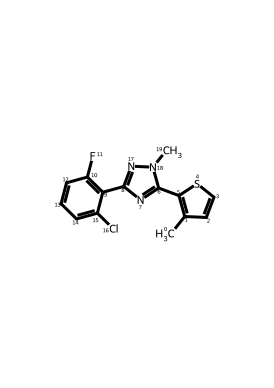 Cc1ccsc1-c1nc(-c2c(F)cccc2Cl)nn1C